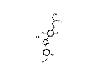 CC(C)Oc1ccc(-c2nnc(-c3cc(F)c(OC[C@H](N)CO)cc3Cl)s2)cc1F.Cl